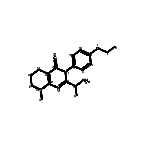 CCOc1ccc(-n2c(C(C)N)nc3c(c2=O)CCCN3C)cc1